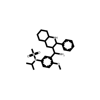 COc1ccc(N(C(C)C)S(C)(=O)=O)cc1C(N)C1CC2CCCCC2NC1c1ccccc1